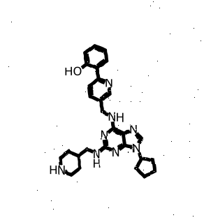 Oc1ccccc1-c1ccc(CNc2nc(NCC3CCNCC3)nc3c2ncn3C2CCCC2)cn1